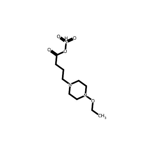 CCON1CCN(CCCC(=O)O[SH](=O)=O)CC1